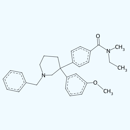 CCN(C)C(=O)c1ccc(C2(c3cccc(OC)c3)CCCN(Cc3ccccc3)C2)cc1